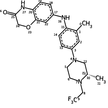 Cc1cc(N2CCN(CC(F)(F)F)[C@@H](C)C2)ccc1Nc1ccc2c(c1)OCC(=O)N2